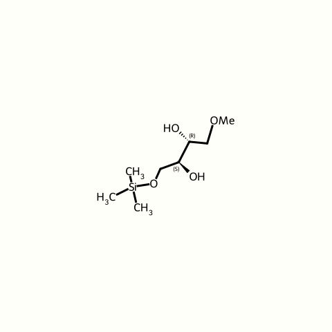 COC[C@@H](O)[C@@H](O)CO[Si](C)(C)C